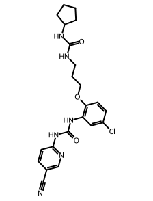 N#Cc1ccc(NC(=O)Nc2cc(Cl)ccc2OCCCNC(=O)NC2CCCC2)nc1